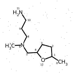 CC1CCC(CN(C)CCCN)O1